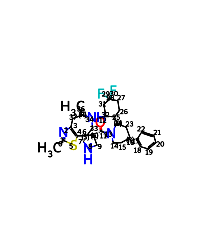 Cc1nc2c(s1)[C@@]1(CNC[C@H]1C(=O)N1CC[C@@H](c3ccccc3)C[C@H]1C1CCC(F)(F)CC1)CN[C@H](C)C2